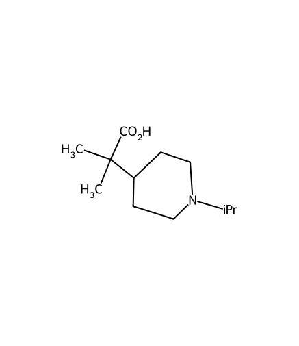 CC(C)N1CCC(C(C)(C)C(=O)O)CC1